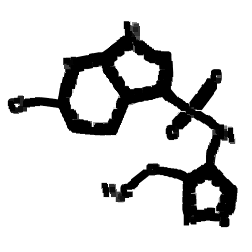 COc1nscc1NS(=O)(=O)c1c[nH]c2nc(Cl)ccc12